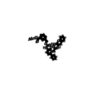 COC(=O)c1cccc(COC(=O)Nc2ccc(-c3ccccc3)n(CC(=O)NC(Cc3ccccc3)C(O)C(F)(F)F)c2=O)c1